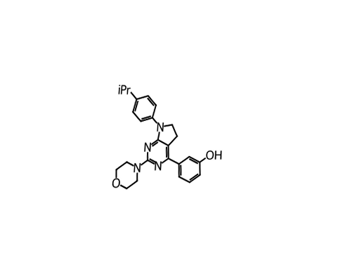 CC(C)c1ccc(N2CCc3c(-c4cccc(O)c4)nc(N4CCOCC4)nc32)cc1